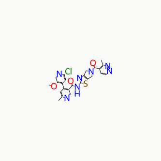 COc1cnc(Cl)cc1-c1cc(C)ncc1C(=O)Nc1nc2c(s1)CN(C(=O)c1ccnnc1C)C2